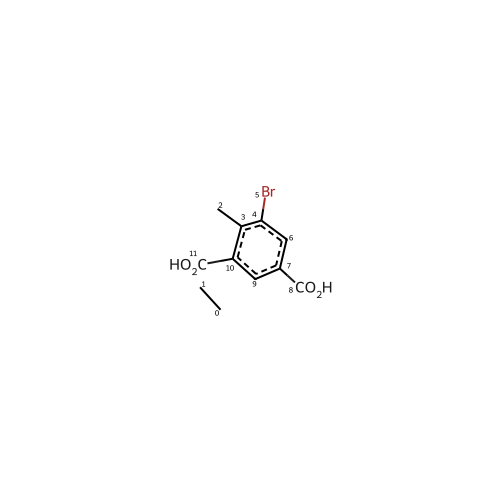 CC.Cc1c(Br)cc(C(=O)O)cc1C(=O)O